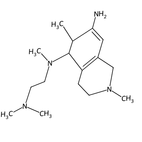 CC1C(N)=CC2=C(CCN(C)C2)C1N(C)CCN(C)C